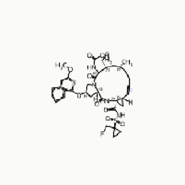 CC[C@@H]1C[C@H](C)CC/C=C\[C@@H]2C[C@@]2(C(=O)NS(=O)(=O)C2(CF)CC2)NC(=O)[C@@H]2C[C@@H](Oc3nc(OC)cc4ccccc34)CN2C(=O)[C@H]1NC(=O)O